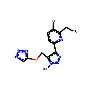 CCc1nc(-c2nnn(C)c2COc2c[nH]nn2)ccc1Br